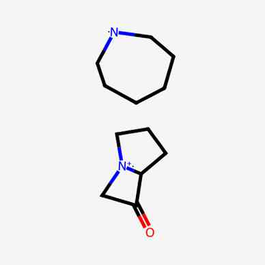 C1CCC[N]CC1.O=C1C[N+]2CCCC12